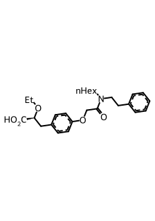 CCCCCCN(CCc1ccccc1)C(=O)COc1ccc(C[C@H](OCC)C(=O)O)cc1